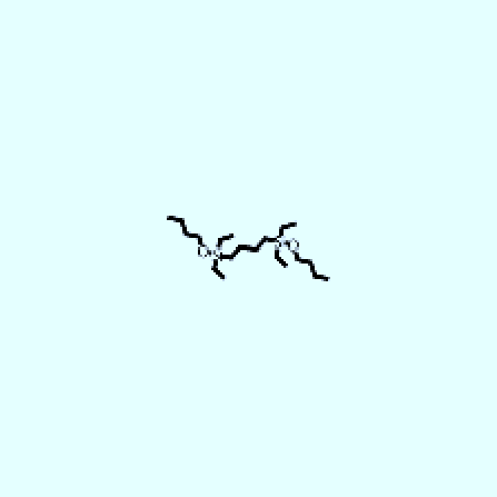 CCCCO[Si](CC)(CC)CCCC[Si](CC)(CC)OCCCC